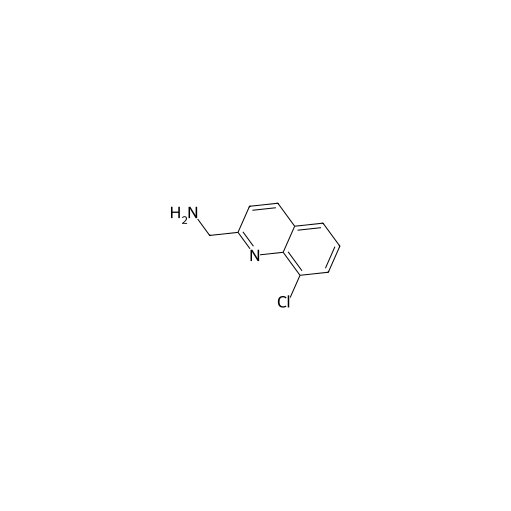 NCc1ccc2cccc(Cl)c2n1